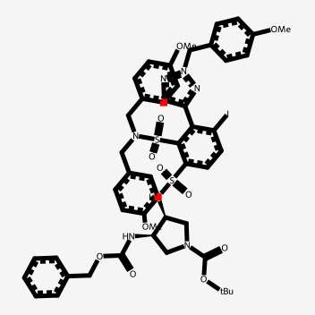 COc1ccc(CN(Cc2ccc(OC)cc2)S(=O)(=O)c2c(S(=O)(=O)N[C@H]3CN(C(=O)OC(C)(C)C)C[C@H]3NC(=O)OCc3ccccc3)ccc(I)c2-c2nnn(Cc3ccc(OC)cc3)n2)cc1